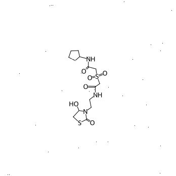 O=C(CS(=O)(=O)CC(=O)NC1CCCC1)NCCN1C(=O)SCC1O